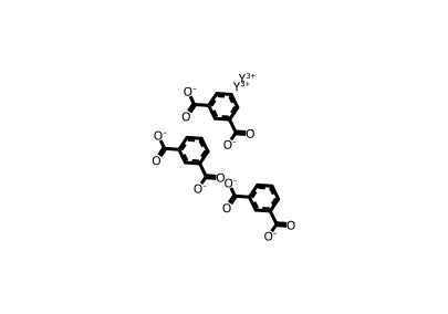 O=C([O-])c1cccc(C(=O)[O-])c1.O=C([O-])c1cccc(C(=O)[O-])c1.O=C([O-])c1cccc(C(=O)[O-])c1.[Y+3].[Y+3]